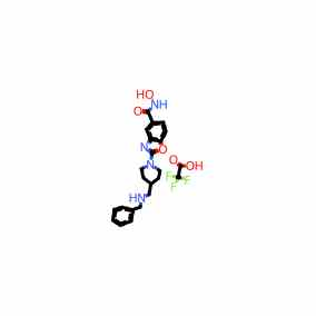 O=C(NO)c1ccc2oc(N3CCC(CNCc4ccccc4)CC3)nc2c1.O=C(O)C(F)(F)F